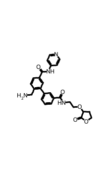 NCc1ccc(C(=O)Nc2ccncc2)cc1-c1cccc(C(=O)NCCOC2CCOC2=O)c1